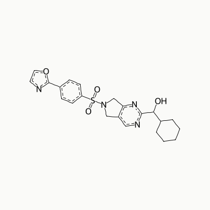 O=S(=O)(c1ccc(-c2ncco2)cc1)N1Cc2cnc(C(O)C3CCCCC3)nc2C1